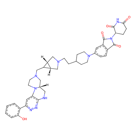 O=C1CCC(N2C(=O)c3ccc(N4CCC(CCN5C[C@@H]6C(CN7CCN8c9cc(-c%10ccccc%10O)nnc9NC[C@H]8C7)[C@@H]6C5)CC4)cc3C2=O)C(=O)N1